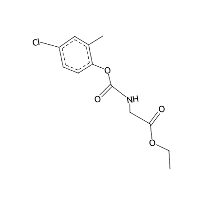 CCOC(=O)CNC(=O)Oc1ccc(Cl)cc1C